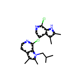 Cc1[nH]c2c(Cl)nccc2c1C.Cc1c(C)n(CC(C)C)c2c(Cl)nccc12